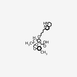 Cc1cc2c(c([C@@H](C(=O)O)N3CC[C@@H](OCCCCc4ccc5c(n4)NCCC5)C3)c1)O[C@@H](C(C)C)CO2